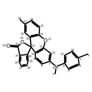 Cc1ccc(N(C)c2ccc3c(c2)Oc2ccc(C)cc2C32OC(=O)c3ccccc32)cc1